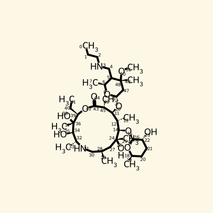 CCCNCC1[C@H](C)O[C@@H](O[C@H]2[C@H](C)[C@@H](O[C@@H]3O[C@H](C)CC[C@H]3O)[C@](C)(O)C[C@@H](C)CN[C@H](C)[C@@H](O)[C@](C)(O)[C@@H](CC)OC(=O)[C@@H]2C)C[C@@]1(C)OC